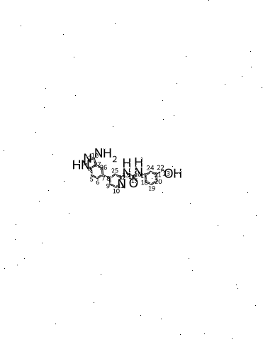 Nc1n[nH]c2ccc(-c3ccnc(NC(=O)Nc4cccc(CO)c4)c3)cc12